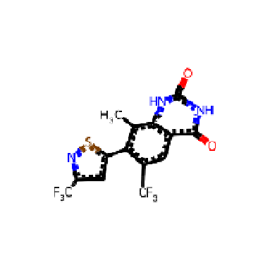 Cc1c(-c2cc(C(F)(F)F)ns2)c(C(F)(F)F)cc2c(=O)[nH]c(=O)[nH]c12